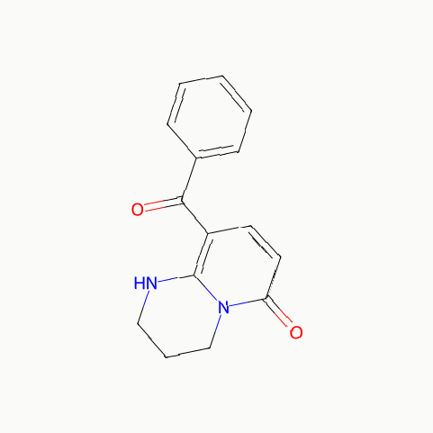 O=C(c1ccccc1)c1ccc(=O)n2c1NCCC2